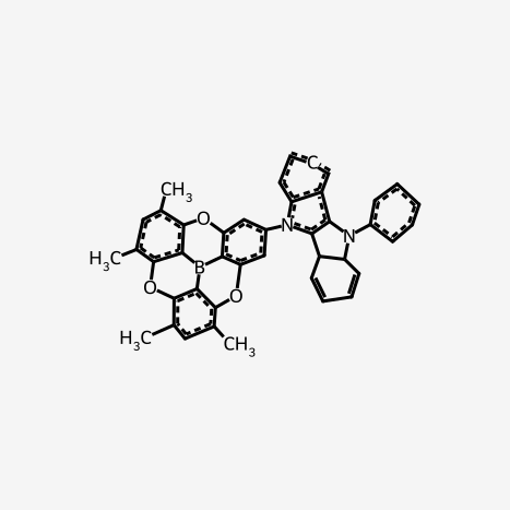 Cc1cc(C)c2c3c1Oc1cc(-n4c5c(c6ccccc64)N(c4ccccc4)C4C=CC=CC54)cc4c1B3c1c(c(C)cc(C)c1O2)O4